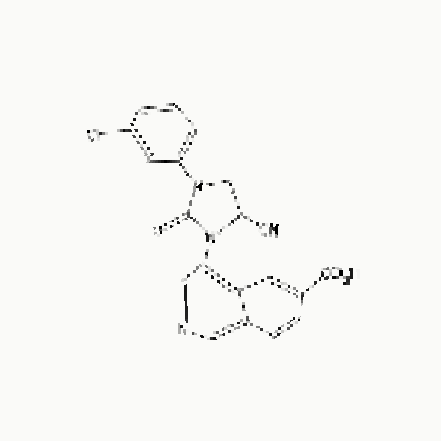 N#CC1CN(c2cccc(Cl)c2)C(=O)N1c1cncc2ccc(C(=O)O)cc12